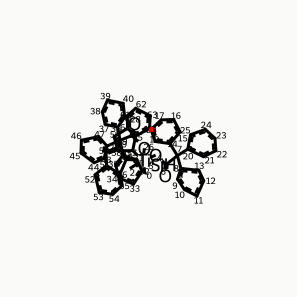 [CH3][Ti]([CH3])(=[SiH2])([O]C(=O)C(c1ccccc1)(c1ccccc1)c1ccccc1)([O]C(=O)C(c1ccccc1)(c1ccccc1)c1ccccc1)([CH]1C=Cc2ccccc21)[CH]1C=Cc2ccccc21